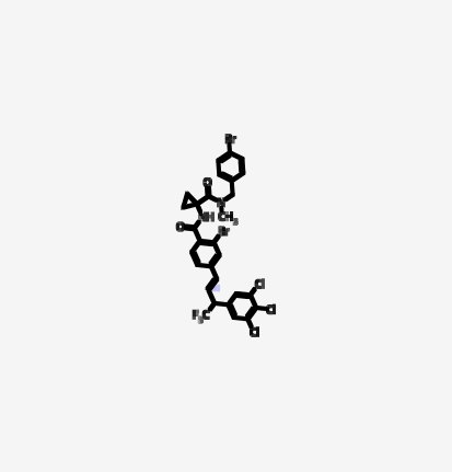 CN(Cc1ccc(Br)cc1)C(=O)C1(NC(=O)c2ccc(/C=C/C(c3cc(Cl)c(Cl)c(Cl)c3)C(F)(F)F)cc2Br)CC1